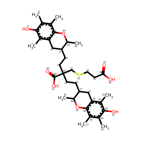 Cc1c(C)c2c(c(C)c1O)CC(CCC(CCC1Cc3c(C)c(O)c(C)c(C)c3OC1C)(CSCCC(=O)O)C(=O)O)C(C)O2